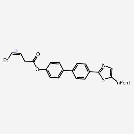 CC/C=C\CC(=O)Oc1ccc(-c2ccc(-c3ncc(CCCCC)s3)cc2)cc1